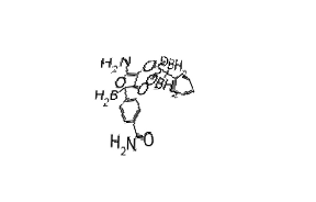 BC1(c2ccc(C(N)=O)cc2)OC(N)=C(OS(=O)(=O)C(B)(B)c2ccccc2)C1=O